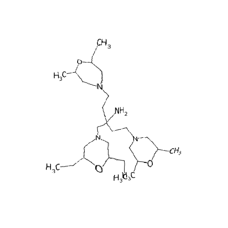 CCC1CN(CC(N)(CCN2CC(C)OC(C)C2)CCN2CC(C)OC(C)C2)CC(CC)O1